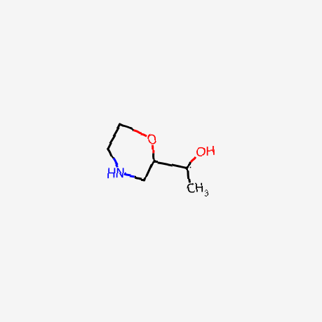 C[C](O)C1CNCCO1